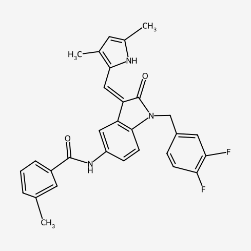 Cc1cccc(C(=O)Nc2ccc3c(c2)/C(=C/c2[nH]c(C)cc2C)C(=O)N3Cc2ccc(F)c(F)c2)c1